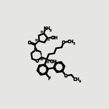 CCOc1cccc(-c2c(F)cccc2[C@@](O)(CCCCOC)[C@H]2CN(C(=O)[C@H]3C[C@@H](N)[C@@H](O)C3)CCO2)c1